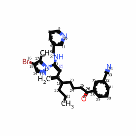 C=C(/C=C(/NCc1cccnc1)n1ncc(Br)c1C)C(CCC)CCCC(=O)c1cccc(C#N)c1